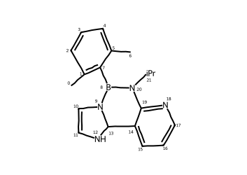 Cc1cccc(C)c1B1N2C=CNC2c2cccnc2N1C(C)C